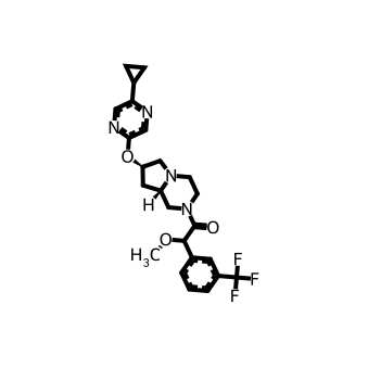 COC(C(=O)N1CCN2C[C@H](Oc3cnc(C4CC4)cn3)C[C@H]2C1)c1cccc(C(F)(F)F)c1